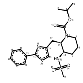 CC(C)OC(=O)N1CCC[C@@H](NS(C)(=O)=O)[C@H]1Cc1csc(-c2ccccc2)n1